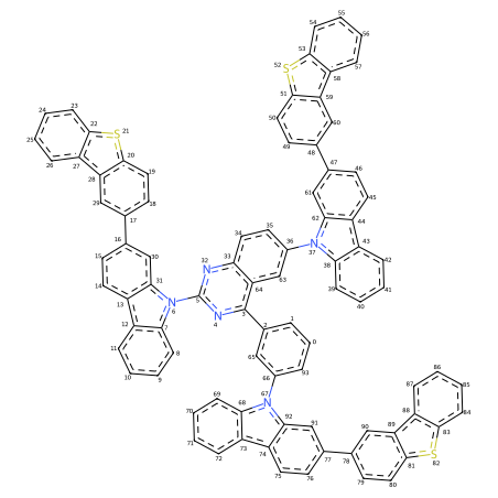 c1cc(-c2nc(-n3c4ccccc4c4ccc(-c5ccc6sc7ccccc7c6c5)cc43)nc3ccc(-n4c5ccccc5c5ccc(-c6ccc7sc8ccccc8c7c6)cc54)cc23)cc(-n2c3ccccc3c3ccc(-c4ccc5sc6ccccc6c5c4)cc32)c1